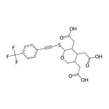 O=C(O)CC1COC(SC#Cc2ccc(C(F)(F)F)cc2)C(CC(=O)O)C1CC(=O)O